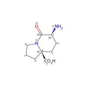 N[C@H]1CC[C@]2(C(=O)O)CCCN2C1=O